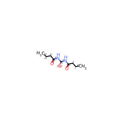 CCCC(=O)NC(Br)NC(=O)CCC